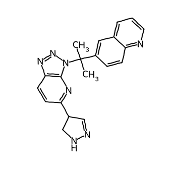 CC(C)(c1ccc2ncccc2c1)n1nnc2ccc(C3C=NNC3)nc21